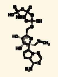 C=NC[C@@]1(c2ccc3c(N)ncnn23)O[C@H](COP(=O)(O)OP(=O)(O)OP(=O)(O)O)[C@@H](O)[C@H]1O